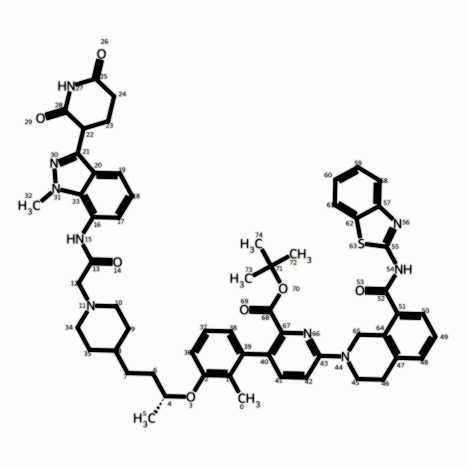 Cc1c(O[C@H](C)CCC2CCN(CC(=O)Nc3cccc4c(C5CCC(=O)NC5=O)nn(C)c34)CC2)cccc1-c1ccc(N2CCc3cccc(C(=O)Nc4nc5ccccc5s4)c3C2)nc1C(=O)OC(C)(C)C